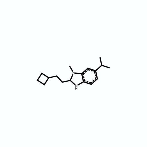 CC(C)c1ccc2c(c1)N(C)C(CCC1CCC1)N2